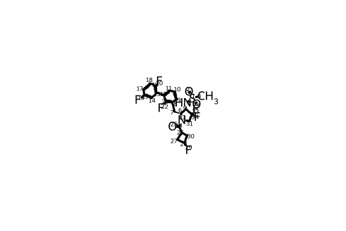 CS(=O)(=O)N[C@@H]1[C@H](Cc2cccc(-c3cc(F)ccc3F)c2F)N(C(=O)C2CC(F)C2)CC1(F)F